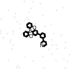 c1cncc(-c2cccc(-c3cc4c5c(c3)Oc3ccccc3B5c3ccccc3O4)c2)c1